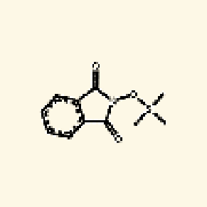 C[Si](C)(C)ON1C(=O)c2ccccc2C1=O